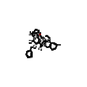 COCCN1CCN(c2cc(F)ccc2CNC(=O)c2nc3n(c(=O)c2OCc2ccccc2)CC2CCN3CC2)C1=O